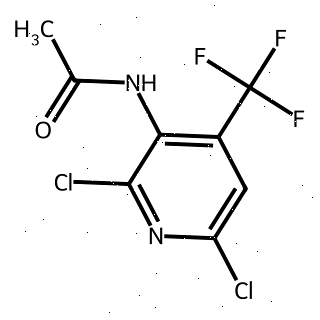 CC(=O)Nc1c(C(F)(F)F)cc(Cl)nc1Cl